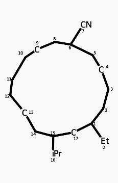 CCC1CCCCC(C#N)CCCCCCCC(C(C)C)C1